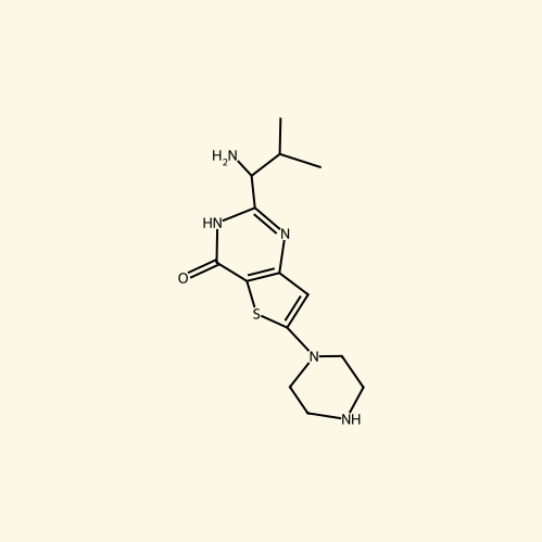 CC(C)C(N)c1nc2cc(N3CCNCC3)sc2c(=O)[nH]1